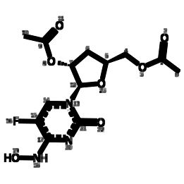 CC(=O)OC[C@@H]1C[C@@H](OC(C)=O)[C@H](n2cc(F)c(NO)nc2=O)O1